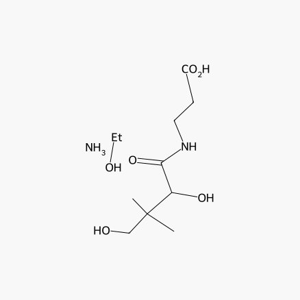 CC(C)(CO)C(O)C(=O)NCCC(=O)O.CCO.N